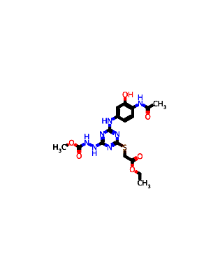 CCOC(=O)CSc1nc(NNC(=O)OC)nc(Nc2ccc(NC(C)=O)c(O)c2)n1